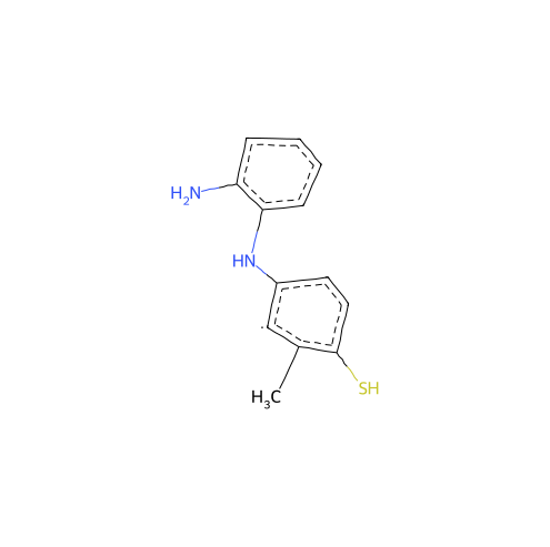 Cc1[c]c(Nc2ccccc2N)ccc1S